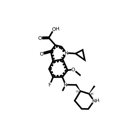 COc1c(N(C)C[C@@H]2CCCN[C@@H]2C)c(F)cc2c(=O)c(C(=O)O)cn(C3CC3)c12